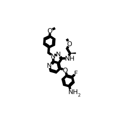 COC[C@@H](C)Nc1nn(Cc2ccc(OC)cc2)c2nccc(Oc3ccc(N)cc3F)c12